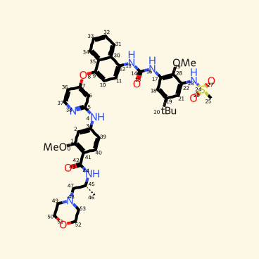 COc1cc(Nc2cc(Oc3ccc(NC(=O)Nc4cc(C(C)(C)C)cc(NS(C)(=O)=O)c4OC)c4ccccc34)ccn2)ccc1C(=O)N[C@H](C)CN1CCOCC1